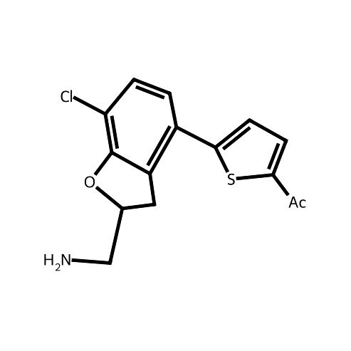 CC(=O)c1ccc(-c2ccc(Cl)c3c2CC(CN)O3)s1